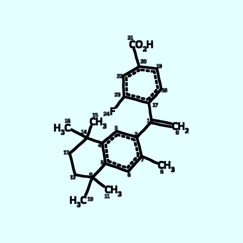 C=C(c1cc2c(cc1C)C(C)(C)CCC2(C)C)c1ccc(C(=O)O)cc1F